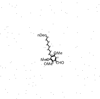 CCCCCCCCCCCCCCCCCCc1c(OC)cc(C=O)c(OC)c1OC